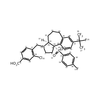 O=C(O)c1ccc(CN2CC[C@]3(S(=O)(=O)c4ccc(F)cc4)c4ccc(C(F)(C(F)(F)F)C(F)(F)F)cc4CCC[C@H]23)c(Cl)c1